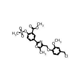 COC(=O)c1cc(-c2nc(COc3ccc(CCl)cc3OC)c(C)o2)ccc1OS(C)(=O)=O